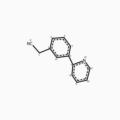 N#CCc1cccc(-c2ccc[c]n2)c1